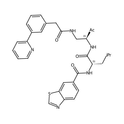 CC(=O)[C@H](CNC(=O)Cc1cccc(-c2ccccn2)c1)NC(=O)[C@H](CC(C)C)NC(=O)c1ccc2ncsc2c1